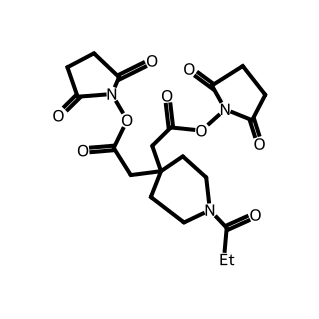 CCC(=O)N1CCC(CC(=O)ON2C(=O)CCC2=O)(CC(=O)ON2C(=O)CCC2=O)CC1